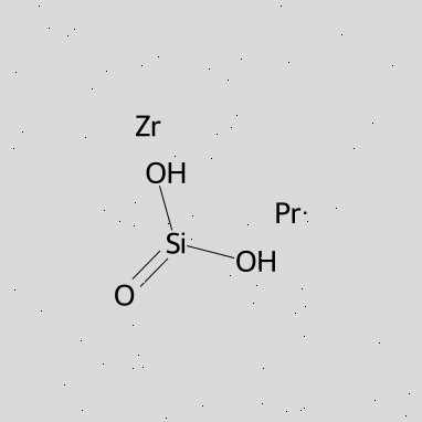 O=[Si](O)O.[Pr].[Zr]